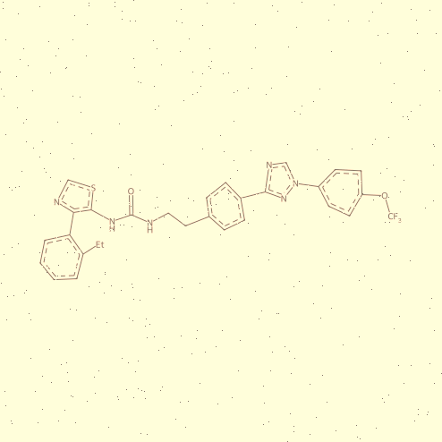 CCc1ccccc1-c1ncsc1NC(=O)NCCc1ccc(-c2ncn(-c3ccc(OC(F)(F)F)cc3)n2)cc1